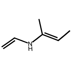 C=CN/C(C)=C/C